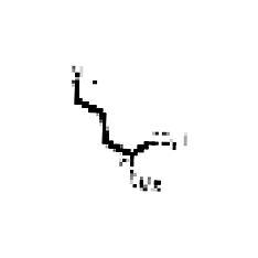 CN[C@H](CCCN)C(=O)O